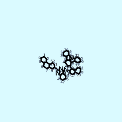 c1ccc2c(c1)ccc1cc(-c3nc(-n4c5ccc6ccccc6c5c5c6c7ccccc7n7c8ccccc8c(cc54)c67)c4ccccc4n3)ccc12